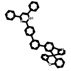 C1=C(c2ccccc2)NC(c2ccc(-c3cccc(-c4ccc5c(c4)C4(c6ccccc6Oc6ccccc64)c4cccnc4-5)c3)cc2)N=C1c1ccccc1